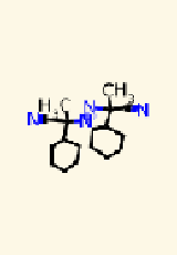 CC(C#N)(/N=N/C(C)(C#N)C1CCCCC1)C1CCCCC1